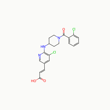 O=C(O)/C=C/c1cnc(NC2CCN(C(=O)c3ccccc3Cl)CC2)c(Cl)c1